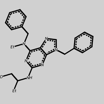 CCC(CO)Nc1nc(N(CC)Cc2ccccc2)c2ncn(Cc3ccccc3)c2n1